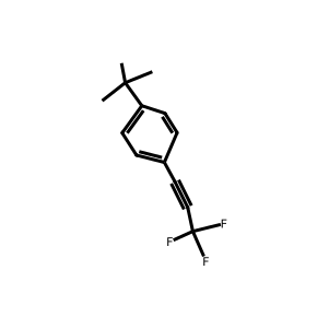 CC(C)(C)c1ccc(C#CC(F)(F)F)cc1